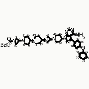 CC(C)(C)OC(=O)N1CC(N2CCC(N3CCC(N4CC(N5CCC(n6nc(-c7ccc(Oc8ccccc8)cc7)c7c(N)ncnc76)CC5)C4)CC3)CC2)C1